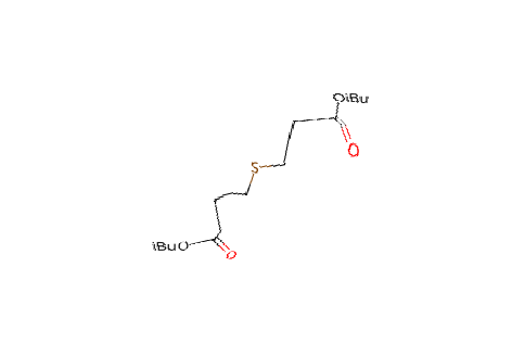 CC(C)COC(=O)CCSCCC(=O)OCC(C)C